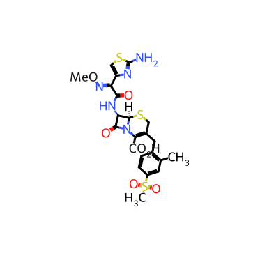 CON=C(C(=O)N[C@@H]1C(=O)N2C(C(=O)O)=C(Cc3ccc(S(C)(=O)=O)cc3C)CS[C@H]12)c1csc(N)n1